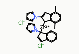 Cc1ccc(C)c2c1C=C(n1cccc1)[CH]2[Zr+2][C]1(n2cccc2)C=Cc2ccccc21.[Cl-].[Cl-]